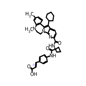 Cc1ccc2c(c1)N(C)CCn1c-2c(C2CCCCC2)c2ccc(C(=O)NC3(C(=O)Nc4ccc(/C=C/C(=O)O)cc4)CCC3)nc21